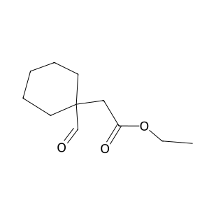 CCOC(=O)CC1(C=O)CCCCC1